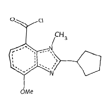 COc1ccc(C(=O)Cl)c2c1nc(C1CCCC1)n2C